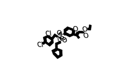 CCOC(=O)c1oc2ccc(S(=O)(=O)N(CCc3ccccc3)Cc3ccc(Cl)cc3Cl)cc2c1C